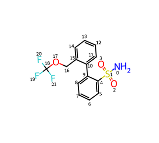 NS(=O)(=O)c1ccccc1-c1ccccc1COC(F)(F)F